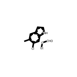 CCOC=O.Cc1cc2cc[nH]c2cc1Cl